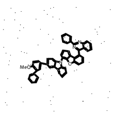 COc1ccc(-c2ccc3c(c2)c2ccccc2n3-c2cccc3c2oc2cccc(-c4nc(-c5ccccc5)nc5ccccc45)c23)cc1-c1ccccc1